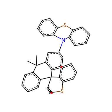 CC1(C)c2ccccc2C2(c3ccccc3Sc3ccccc32)c2ccc(N3c4ccccc4Sc4ccccc43)cc21